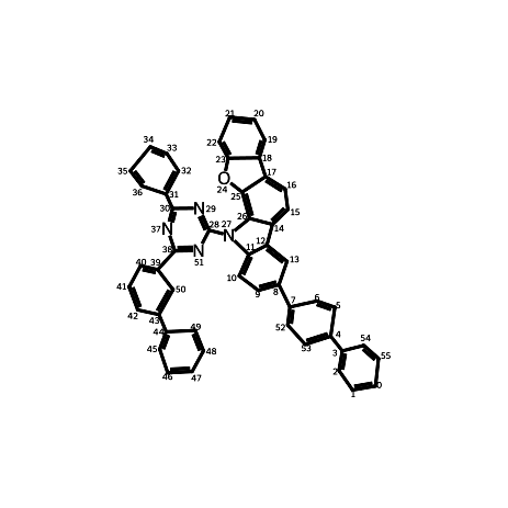 c1ccc(-c2ccc(-c3ccc4c(c3)c3ccc5c6ccccc6oc5c3n4-c3nc(-c4ccccc4)nc(-c4cccc(-c5ccccc5)c4)n3)cc2)cc1